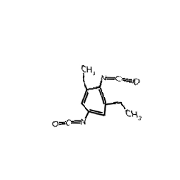 CCc1cc(N=C=O)cc(CC)c1N=C=O